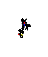 CCCCC1(CCCC)c2cc(C)ccc2-c2ccc(N(c3ccc4c(c3)C(CCCC)(CCCC)c3cc(C)ccc3-4)c3ccc4cc(-c5c6ccccc6c(-c6cccc7c6sc6ccccc67)c6ccccc56)ccc4c3)cc21